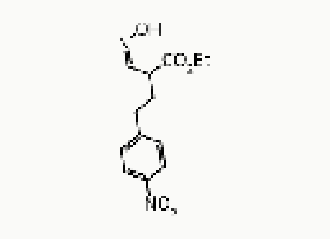 CCOC(=O)C(/C=N\O)CCc1ccc([N+](=O)[O-])cc1